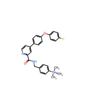 C[N+](C)(C)c1ccc(CNC(=O)c2cc(-c3ccc(Oc4ccc(F)cc4)cc3)ccn2)cc1